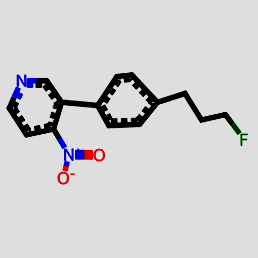 O=[N+]([O-])c1ccncc1-c1ccc(CCCF)cc1